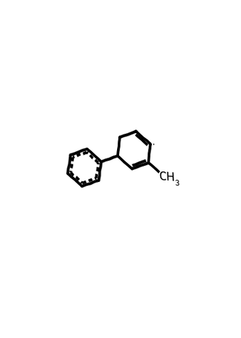 CC1=CC(c2ccccc2)CC=[C]1